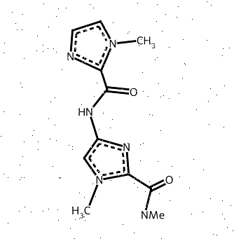 CNC(=O)c1nc(NC(=O)c2nccn2C)cn1C